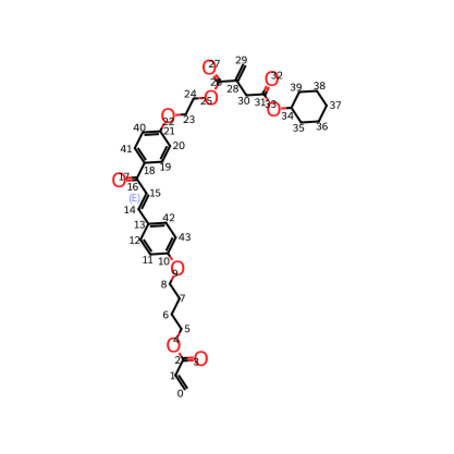 C=CC(=O)OCCCCOc1ccc(/C=C/C(=O)c2ccc(OCCOC(=O)C(=C)CC(=O)OC3CCCCC3)cc2)cc1